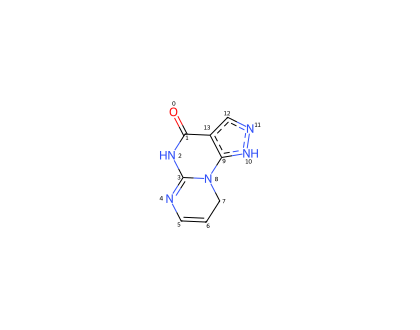 O=C1NC2=NC=CCN2c2[nH]ncc21